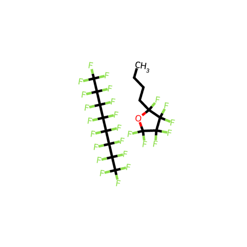 CCCCC1(F)OC(F)(F)C(F)(F)C1(F)F.FC(F)(F)C(F)(F)C(F)(F)C(F)(F)C(F)(F)C(F)(F)C(F)(F)C(F)(F)F